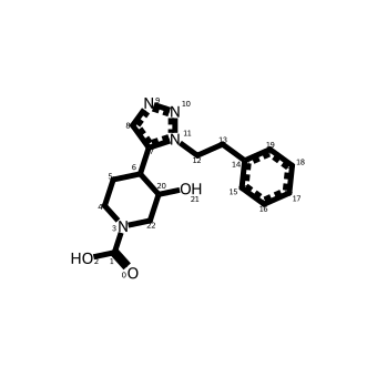 O=C(O)N1CCC(c2cnnn2CCc2ccccc2)C(O)C1